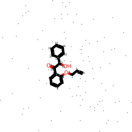 C=CCOc1ccccc1C(=O)C(O)c1ccccc1